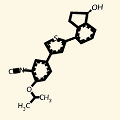 [C-]#[N+]c1cc(-c2csc(-c3cccc4c3CC[C@H]4O)c2)ccc1OC(C)C